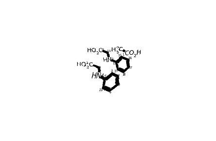 CC(=O)O.O=C(O)CNc1ccccc1.O=C(O)CNc1ccccc1